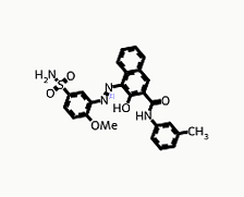 COc1ccc(S(N)(=O)=O)cc1/N=N/c1c(O)c(C(=O)Nc2cccc(C)c2)cc2ccccc12